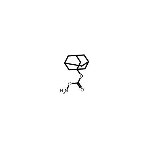 NOC(=O)OC12CC3CC(CC(C3)C1)C2